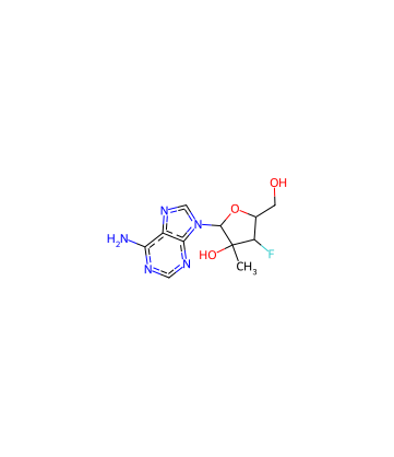 CC1(O)C(F)C(CO)OC1n1cnc2c(N)ncnc21